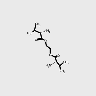 CC(C)[C@H](N)C(=O)OCCOC(=O)[C@@H](N)C(C)C